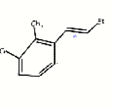 CC/C=C/c1[c]ccc(Cl)c1C